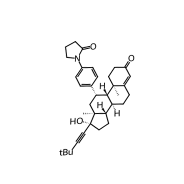 CC(C)(C)C#C[C@]1(O)CC[C@H]2[C@@H]3CCC4=CC(=O)CC[C@]4(C)[C@H]3[C@@H](c3ccc(N4CCCC4=O)cc3)C[C@@]21C